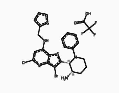 N[C@H]1CCCN(c2ccccc2)[C@H]1c1sc2c(NCc3cccs3)cc(Cl)nc2c1Br.O=C(O)C(F)(F)F